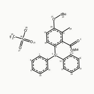 COC(=O)c1c([S+](c2ccccc2)c2ccccc2)ccc(OC(C)(C)C)c1C.O=S(=O)([O-])C(F)(F)F